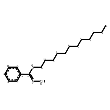 CCCCCCCCCCCCSC(=NO)c1ccccc1